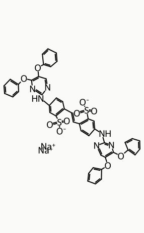 O=S(=O)([O-])c1cc(Nc2ncc(Oc3ccccc3)c(Oc3ccccc3)n2)ccc1C=Cc1ccc(Nc2ncc(Oc3ccccc3)c(Oc3ccccc3)n2)cc1S(=O)(=O)[O-].[Na+].[Na+]